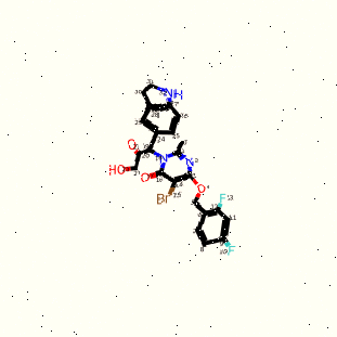 Cc1nc(OCc2ccc(F)cc2F)c(Br)c(=O)n1C(C(=O)CO)c1ccc2c(c1)CCN2